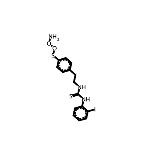 NOOSc1ccc(CCNC(=S)Nc2ccccc2I)cc1